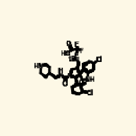 CC(C)(C)CC1CN(C(=O)NCC2CCNCC2)C(c2cccc(Cl)c2F)C12C(=O)Nc1cc(Cl)ccc12.O=C(O)C(F)(F)F